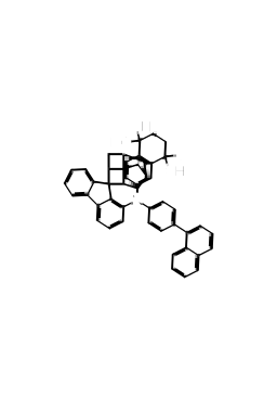 CC1(C)CCC(C)(C)c2cc(N(c3ccc(-c4cccc5ccccc45)cc3)c3cccc4c3C3(c5ccccc5-4)C4CC5CC6CC3C64C5)ccc21